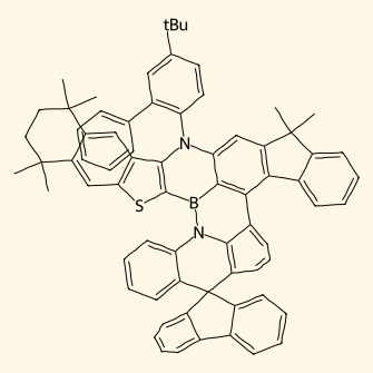 CC(C)(C)c1ccc(N2c3cc4c(c5c3B(c3sc6cc7c(cc6c32)C(C)(C)CCC7(C)C)N2c3ccccc3C3(c6ccccc6-c6ccccc63)c3cccc-5c32)-c2ccccc2C4(C)C)c(-c2ccccc2)c1